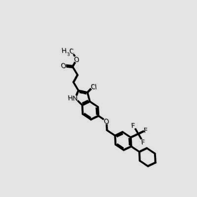 COC(=O)CCc1[nH]c2ccc(OCc3ccc(C4CCCCC4)c(C(F)(F)F)c3)cc2c1Cl